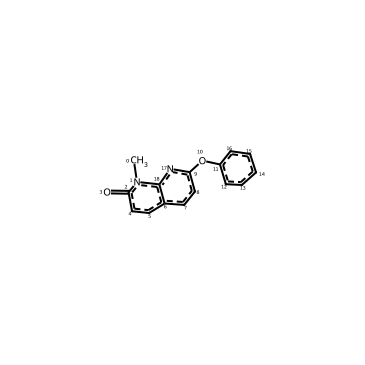 Cn1c(=O)ccc2ccc(Oc3ccccc3)nc21